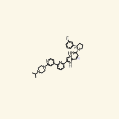 CC(C)N1CCN(c2cc(-c3cccc(-c4cnc(/C=C\C(=N)N5CCC[C@@H]5c5cccc(F)c5)[nH]4)n3)ccn2)CC1